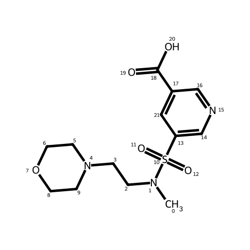 CN(CCN1CCOCC1)S(=O)(=O)c1cncc(C(=O)O)c1